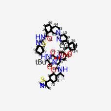 Cc1ncsc1-c1ccc(C(C)NC(=O)[C@@H]2C[C@@H](O)CN2C(=O)C(NC(=O)CN2CCC(Oc3cccc(-c4ccc(N5CCc6cccc(C(=O)Nc7nc8ccccc8s7)c6C5)nc4C(=O)O)c3C)CC2)C(C)(C)C)cc1